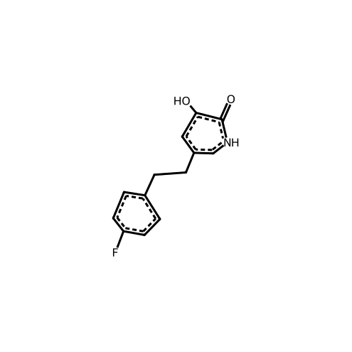 O=c1[nH]cc(CCc2ccc(F)cc2)cc1O